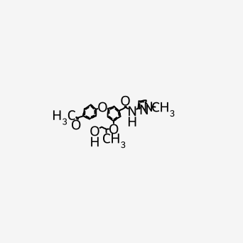 CC(=O)c1ccc(Oc2cc(OC(C)CO)cc(C(=O)Nc3ccn(C)n3)c2)cc1